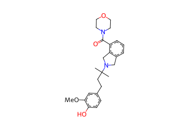 COc1cc(CCC(C)(C)N2Cc3cccc(C(=O)N4CCOCC4)c3C2)ccc1O